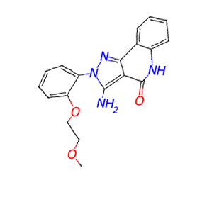 COCCOc1ccccc1-n1nc2c(c1N)c(=O)[nH]c1ccccc12